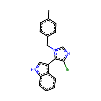 Cc1ccc(Cn2cnc(Br)c2-c2c[nH]c3ccccc23)cc1